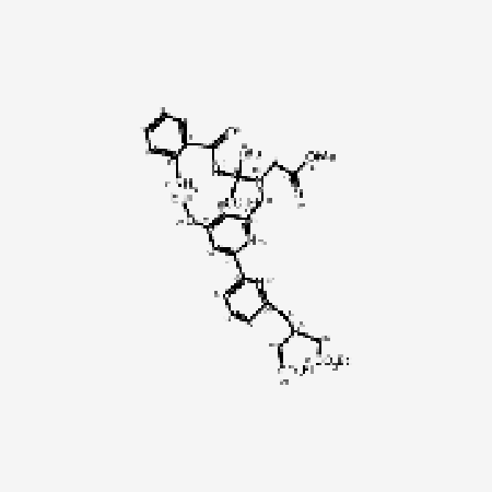 CCCCC(NC(=O)c1ccccc1N)(C(=O)OCC)N(CC(=O)OC)Cc1cc(OCC)cc(-c2cccc(CN(CC(=O)OCC)CC(=O)OCC)n2)n1